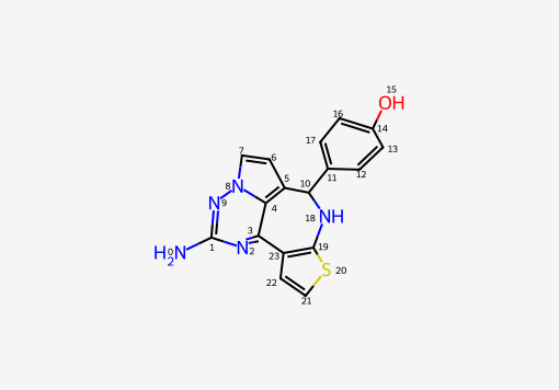 Nc1nc2c3c(ccn3n1)C(c1ccc(O)cc1)Nc1sccc1-2